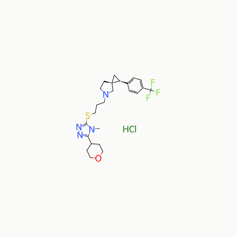 Cl.Cn1c(SCCCN2CC[C@]3(C[C@H]3c3ccc(C(F)(F)F)cc3)C2)nnc1C1CCOCC1